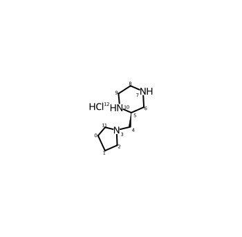 C1CCN(C[C@@H]2CNCCN2)C1.Cl